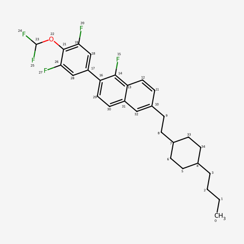 CCCCC1CCC(CCc2ccc3c(F)c(-c4cc(F)c(OC(F)F)c(F)c4)ccc3c2)CC1